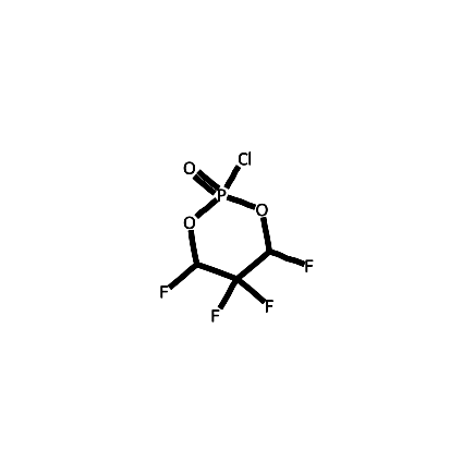 O=P1(Cl)OC(F)C(F)(F)C(F)O1